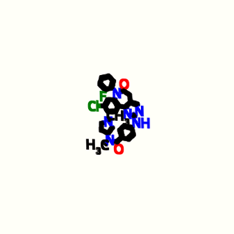 CN1CCC(N(C)C(=O)c2ccc(Nc3ncc4c(n3)-c3ccc(Cl)cc3N(c3ccccc3F)C(=O)C4)cc2)C1